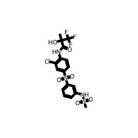 CC(O)(C(=O)Nc1ccc(S(=O)(=O)c2cccc(NS(C)(=O)=O)c2)cc1Cl)C(F)(F)F